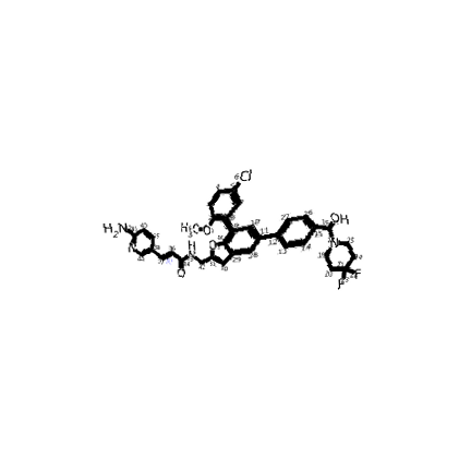 COc1ccc(Cl)cc1-c1cc(-c2ccc(C(O)N3CCC(F)(F)CC3)cc2)cc2cc(CNC(=O)/C=C/c3ccc(N)nc3)oc12